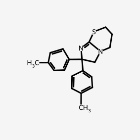 Cc1ccc(C2(c3ccc(C)cc3)CN3CCCSC3=N2)cc1